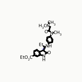 CCOC(=O)c1ccc2c(c1)NC(=O)/C2=C(/CC)Nc1ccc(N(C)C(=O)CN(C)C)cc1